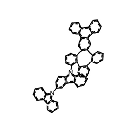 c1ccc2c(c1)-c1cc3c4ccccc4c4ccccc4c3cc1-c1cccc(-n3c4ccccc4c4cc(-n5c6ccccc6c6ccccc65)ccc43)c1-c1ccccc1-2